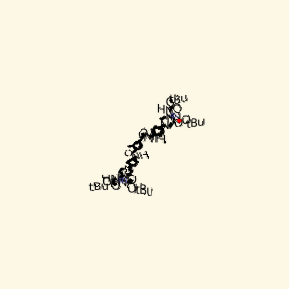 Cc1cc(C(=O)Nc2ccc(N3CCN(/C(=N\C(=O)OC(C)(C)C)NC(=O)OC(C)(C)C)CC3)cc2)ccc1C(=O)Nc1ccc(N2CCN(/C(=N\C(=O)OC(C)(C)C)NC(=O)OC(C)(C)C)CC2)cc1